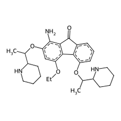 CCOc1cc(OC(C)C2CCCCN2)c(N)c2c1-c1c(OC(C)C3CCCCN3)cccc1C2=O